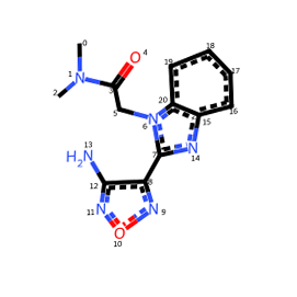 CN(C)C(=O)Cn1c(-c2nonc2N)nc2ccccc21